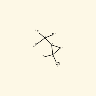 CC1(C#N)CC1C(F)(F)F